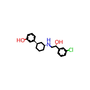 Oc1cccc([C@@H]2CCC[C@@H](NC[C@H](O)c3cccc(Cl)c3)C2)c1